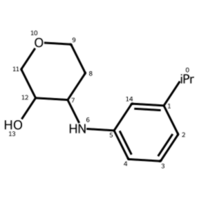 CC(C)c1cccc(NC2CCOCC2O)c1